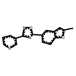 Cc1cc2cc(-c3nc(-c4cccnc4)no3)ccc2o1